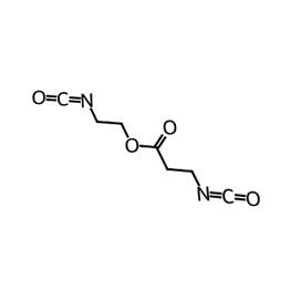 O=C=NCCOC(=O)CCN=C=O